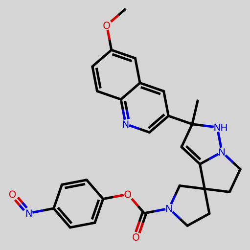 COc1ccc2ncc(C3(C)C=C4N(CCC45CCN(C(=O)Oc4ccc(N=O)cc4)C5)N3)cc2c1